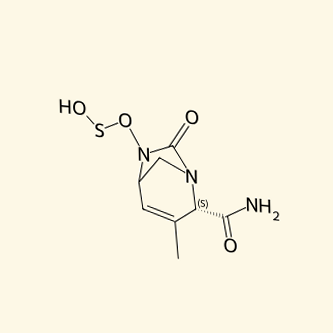 CC1=CC2CN(C(=O)N2OSO)[C@@H]1C(N)=O